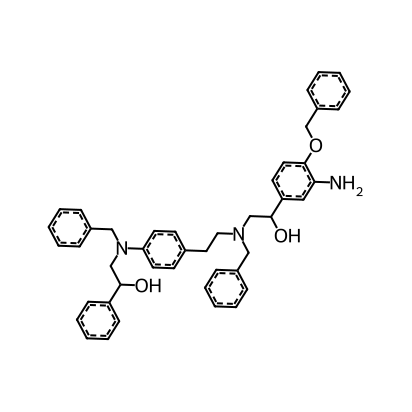 Nc1cc(C(O)CN(CCc2ccc(N(Cc3ccccc3)CC(O)c3ccccc3)cc2)Cc2ccccc2)ccc1OCc1ccccc1